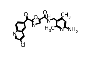 Cc1cc(N)nc(C)c1CNC(=O)c1cnc(C(=O)c2ccc3ncc(Cl)cc3c2)o1